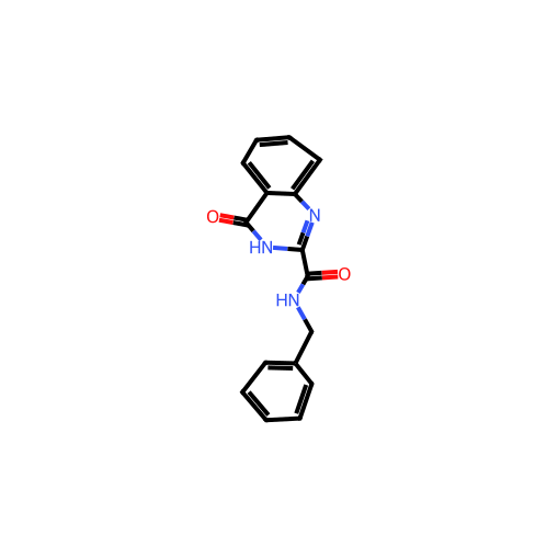 O=C(NCc1ccccc1)c1nc2ccccc2c(=O)[nH]1